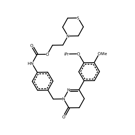 COc1ccc(C2=NN(Cc3ccc(NC(=O)OCCN4CCSCC4)cc3)C(=O)CC2)cc1OC(C)C